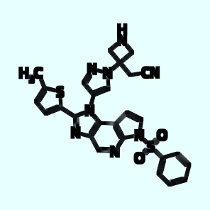 Cc1ccc(-c2nc3cnc4c(ccn4S(=O)(=O)c4ccccc4)c3n2-c2cnn(C3(CC#N)CNC3)c2)s1